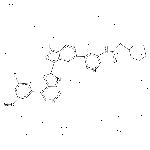 COc1cc(F)cc(-c2cncc3[nH]c(-c4n[nH]c5cnc(-c6cncc(NC(=O)CC7CCCCC7)c6)cc45)cc23)c1